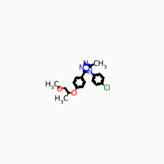 COC[C@H](C)Oc1ccc(-c2nnc(C)n2-c2ccc(Cl)cc2)cc1